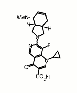 CN[C@@H]1C=CC[C@@H]2CN(c3ncc4c(=O)c(C(=O)O)cn(C5CC5)c4c3F)C[C@@H]21